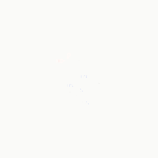 C[C@H](CN[C@H](c1ccccc1)[C@H]1CNc2cccc(C#N)c2N1)c1cc(CC(=O)O)cs1